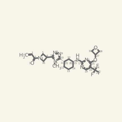 C=CC(=O)N1CC(c2nnc([C@H]3CCC[C@@H](Nc4ncc(C(F)(F)F)c(OC5COC5)n4)C3)n2C)C1